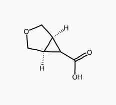 O=C(O)C1[C@H]2COC[C@@H]12